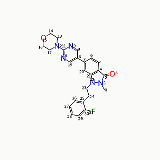 Cn1c(=O)c2ccc(-c3cnc(N4CCOCC4)nc3)cc2n1CCc1ccccc1F